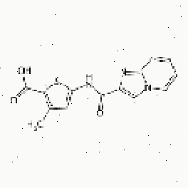 Cc1cc(NC(=O)c2cn3ccccc3n2)sc1C(=O)O